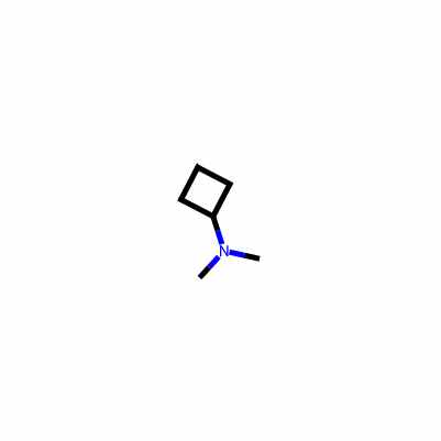 CN(C)C1C[CH]C1